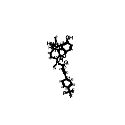 CN1CC[C@@]23c4c5ccc(O)c4C[C@@H]1[C@@H]2CC[C@H](N(C)C(=O)C#Cc1ccc(C(F)(F)F)cc1)[C@@H]3O5